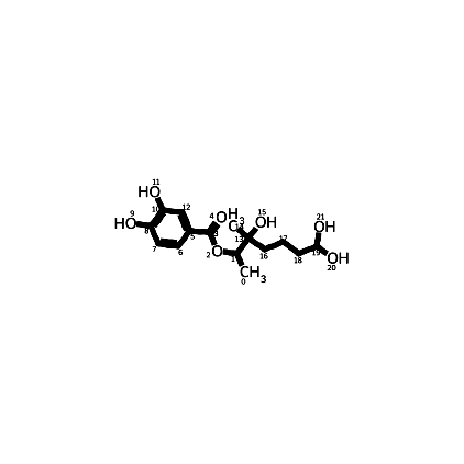 CC(OC(=O)c1ccc(O)c(O)c1)C(C)(O)CCCC(O)O